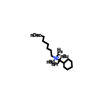 CCCCCCCCCCCCCCCC[N+](C)(CCCC)C(CCC)(CCCC)C1CCCCC1